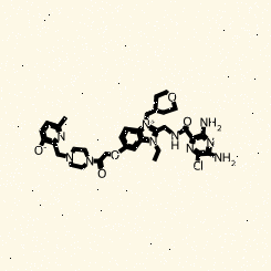 CCn1c(CNC(=O)c2nc(Cl)c(N)nc2N)[n+](CC2CCOCC2)c2ccc(OCC(=O)N3CCN(Cc4nc(C)ccc4[O-])CC3)cc21